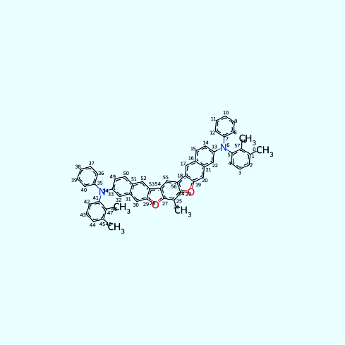 Cc1cccc(N(c2ccccc2)c2ccc3cc4c(cc3c2)oc2c(C)c3oc5cc6cc(N(c7ccccc7)c7cccc(C)c7C)ccc6cc5c3cc24)c1C